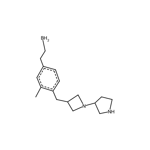 BCCc1ccc(CC2CN(C3CCNC3)C2)c(C)c1